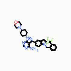 Nc1ncnc2c1c(-c1ccc3c(ccn3Cc3ccccc3C(F)(F)F)c1)nn2[C@H]1CC[C@H](N2CCOCC2)CC1